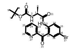 C[C@H](NC(=O)OC(C)(C)C)C(=O)Nc1ccc(Br)cc1C(=O)c1ccccn1